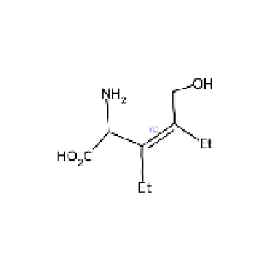 CC/C(CO)=C(\CC)C(N)C(=O)O